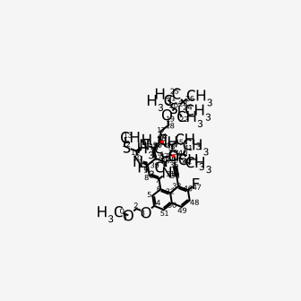 COCOc1cc(-c2cc3nc(SC)nc(NCCO[Si](C)(C)C(C)(C)C)c3c(OC)n2)c2c(C#C[Si](C(C)C)(C(C)C)C(C)C)c(F)ccc2c1